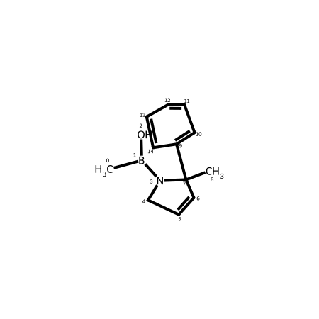 CB(O)N1CC=CC1(C)c1ccccc1